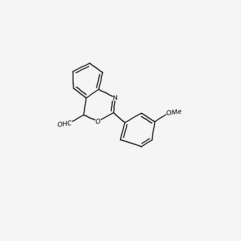 COc1cccc(C2=Nc3ccccc3C(C=O)O2)c1